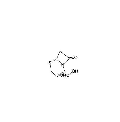 O=C1CC2SCC=CN12.O=CO